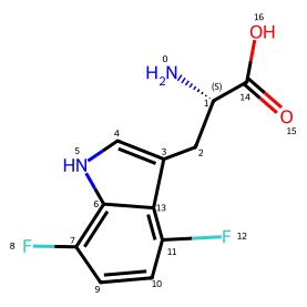 N[C@@H](Cc1c[nH]c2c(F)ccc(F)c12)C(=O)O